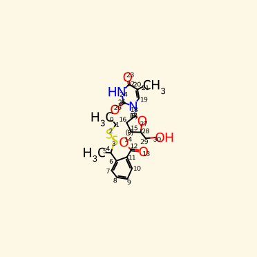 CCSSC(C)c1ccccc1C(=O)O[C@@H]1C[C@H](n2cc(C)c(=O)[nH]c2=O)OC1CO